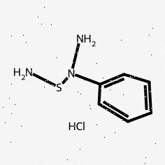 Cl.NSN(N)c1ccccc1